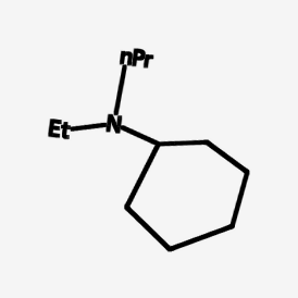 [CH2]CCN(CC)C1CCCCC1